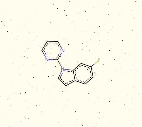 Fc1ccc2ccn(-c3ncccn3)c2c1